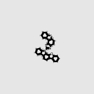 c1ccc2c(c1)oc1c2ccc2c3ccccc3n(-c3nc4ccc5sc6ccccc6c5c4s3)c21